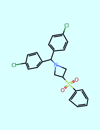 O=S(=O)(c1ccccc1)C1CN(C(c2ccc(Cl)cc2)c2ccc(Cl)cc2)C1